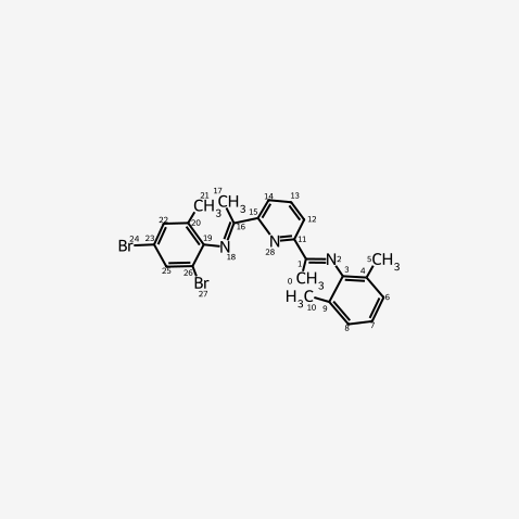 CC(=Nc1c(C)cccc1C)c1cccc(C(C)=Nc2c(C)cc(Br)cc2Br)n1